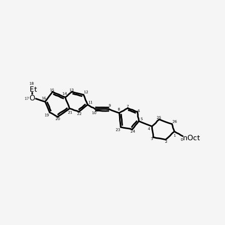 CCCCCCCCC1CCC(c2ccc(C#Cc3ccc4cc(OCC)ccc4c3)cc2)CC1